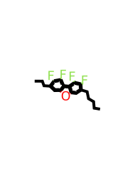 CCCCCc1cc2oc3cc(CCC)c(F)c(F)c3c2c(F)c1F